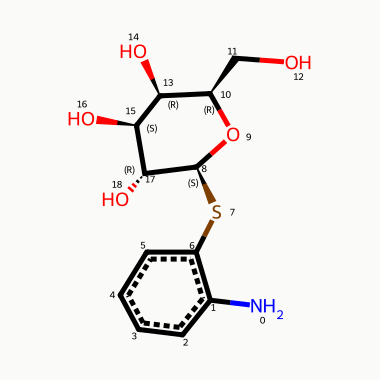 Nc1ccccc1S[C@@H]1O[C@H](CO)[C@H](O)[C@H](O)[C@H]1O